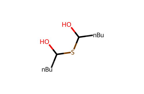 CCCCC(O)SC(O)CCCC